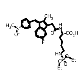 CCOP(=O)(NCCCC[C@H](NC(=O)CC1=C(C)/C(=C/c2ccc([S+](C)[O-])cc2)c2ccc(F)cc21)C(=O)O)OCC